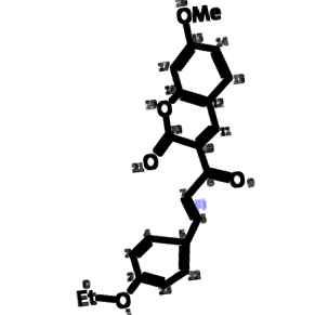 CCOc1ccc(/C=C/C(=O)c2cc3ccc(OC)cc3oc2=O)cc1